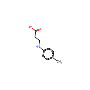 Cc1ccc(NCCC(=O)O)cc1